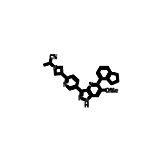 COc1cc2[nH]nc(-c3ccc(C4CN(C(C)C#N)C4)nc3)c2nc1-c1cccc2c1CCC2